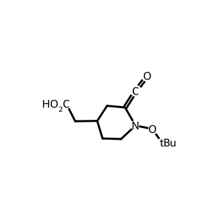 CC(C)(C)ON1CCC(CC(=O)O)CC1=C=O